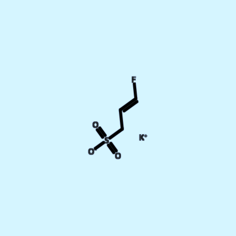 O=S(=O)([O-])CC=CF.[K+]